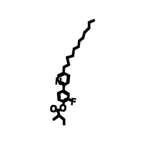 CCCCCCCCCCCCc1ccc(-c2ccc(OC(=O)C(C)CC)c(F)c2)nc1